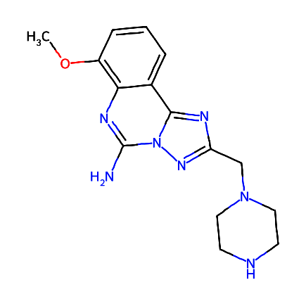 COc1cccc2c1nc(N)n1nc(CN3CCNCC3)nc21